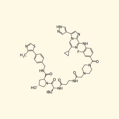 Cc1ncsc1-c1ccc(CNC(=O)[C@@H]2C[C@@H](O)CN2C(=O)[C@@H](NC(=O)CCNC(=O)CN2CCN(C(=O)c3ccc(Nc4nc(C5CC5)cn5c(-c6cn[nH]c6)cnc45)c(F)c3)CC2)C(C)(C)C)cc1